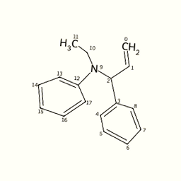 C=CC(c1ccccc1)N(CC)c1ccccc1